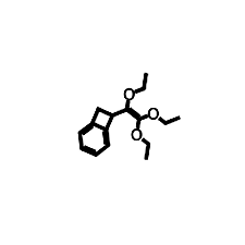 CCOC(OCC)=C(OCC)C1Cc2ccccc21